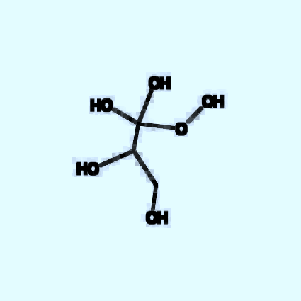 OCC(O)C(O)(O)OO